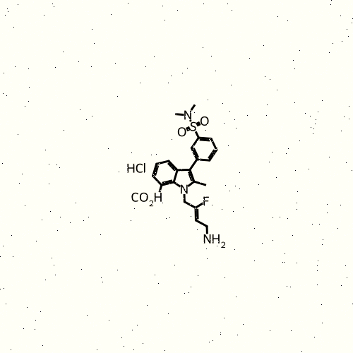 Cc1c(-c2cccc(S(=O)(=O)N(C)C)c2)c2cccc(C(=O)O)c2n1CC(F)=CCN.Cl